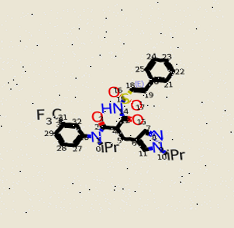 CC(C)N(C(=O)C(Cc1cnn(C(C)C)c1)C(=O)NS(=O)(=O)/C=C/c1ccccc1)c1cccc(C(F)(F)F)c1